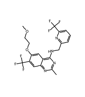 COCCOc1cc2c(NCc3cccc(C(F)(F)F)n3)nc(C)nc2cc1C(F)(F)F